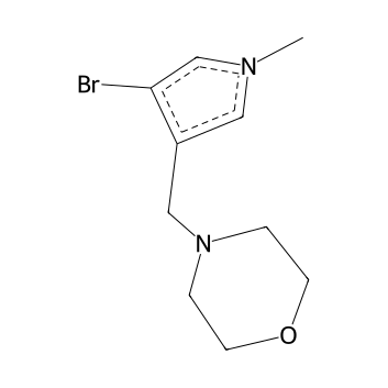 Cn1cc(Br)c(CN2CCOCC2)c1